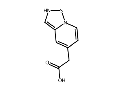 O=C(O)CC1=CC2=CNSN2C=C1